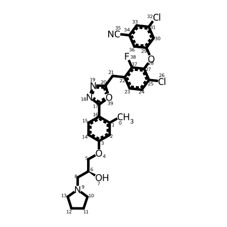 Cc1cc(OC[C@@H](O)CN2CCCC2)ccc1-c1nnc(Cc2ccc(Cl)c(Oc3cc(Cl)cc(C#N)c3)c2F)o1